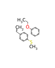 C=Cc1ccc(SC)cc1.CCOc1ccccc1